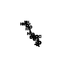 Cc1cc(C)c2cccc(OCc3c(Cl)ccc(S(=O)(=O)N4CCC[C@H]4C(=O)NCCCNC(=O)c4ccc(C(=N)N)cc4)c3Cl)c2n1